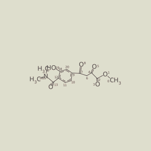 COC(=O)C(=O)CC(=O)c1ccc(C(=O)N(C)C)c(O)c1